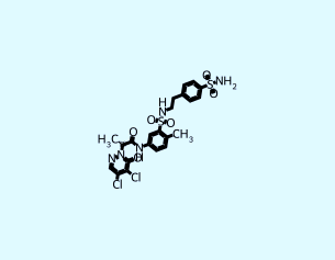 Cc1ccc(NC(=O)[C@@H](C)n2ncc(Cl)c(Cl)c2=O)cc1S(=O)(=O)NCCc1ccc(S(N)(=O)=O)cc1